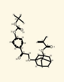 C=C(C)C(=O)OC12CC3CC(CC(OCC(=O)c4ccc(OC(=O)OC(C)(C)C)cc4)(C3)C1)C2